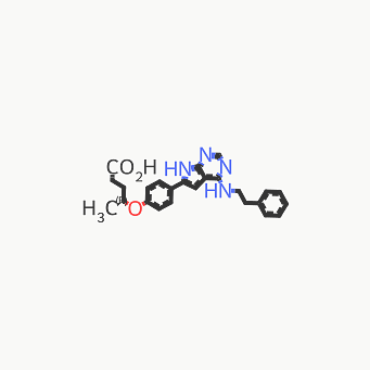 C[C@H](CCC(=O)O)Oc1ccc(-c2cc3c(NCCc4ccccc4)ncnc3[nH]2)cc1